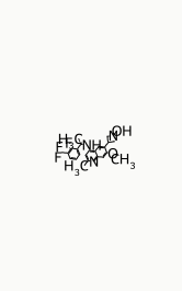 COc1cc2nc(C)cc(N[C@H](C)c3cccc(C(F)F)c3F)c2cc1C1CN(O)C1